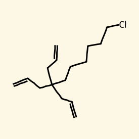 C=CCC(CC=C)(CC=C)CCCCCCCl